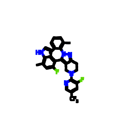 Cc1cccc(C)c1-n1nc2c(c1-c1c(F)cc(C)c3[nH]ccc13)CN(c1ncc(C(F)(F)F)cc1F)CC2